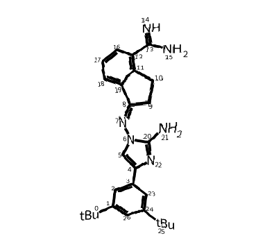 CC(C)(C)c1cc(-c2cn(N=C3CCc4c(C(=N)N)cccc43)c(N)n2)cc(C(C)(C)C)c1